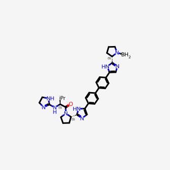 BN1CCC[C@H]1c1ncc(-c2ccc(-c3ccc(-c4cnc([C@@H]5CCCN5C(=O)[C@@H](NC5=NCCN5)C(C)C)[nH]4)cc3)cc2)[nH]1